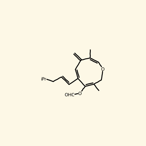 C=C1/C=C(C=CCC(C)C)\C(OC=O)=C(\C)CO/C=C\1C